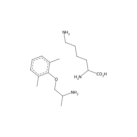 Cc1cccc(C)c1OCC(C)N.NCCCCC(N)C(=O)O